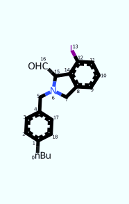 CCCCc1ccc(CN2Cc3cccc(I)c3C2C=O)cc1